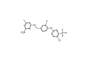 Cc1cc(OCc2ccc(Oc3ccc(Cl)c(C(F)(F)F)c3)c(F)c2)nc(N)n1